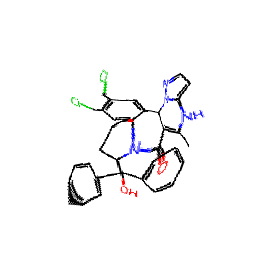 CC1=C(C(=O)N2CCCC2C(O)(c2ccccc2)c2ccccc2)C(c2ccc(Cl)c(Cl)c2)n2nccc2N1